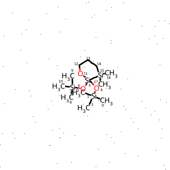 C[Si](C)(C)O[Si]1(O[Si](C)(C)C)OCCC[Si]1(C)C